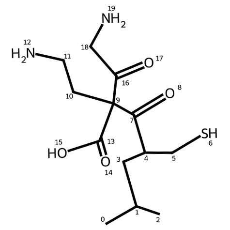 CC(C)CC(CS)C(=O)C(CCN)(C(=O)O)C(=O)CN